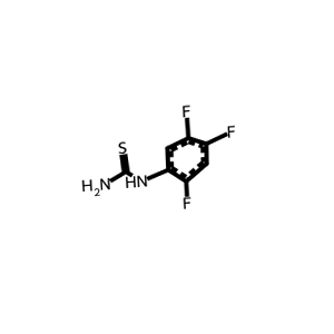 NC(=S)Nc1cc(F)c(F)cc1F